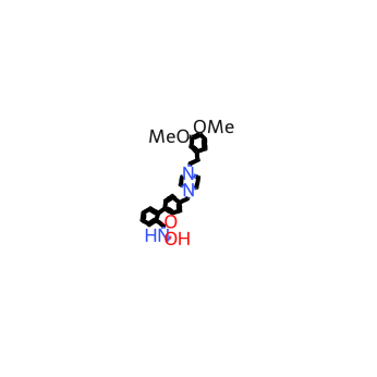 COc1ccc(CCN2CCN(Cc3ccc(-c4ccccc4C(=O)NO)cc3)CC2)cc1OC